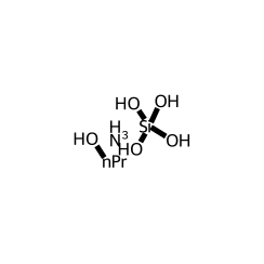 CCCO.N.O[Si](O)(O)O